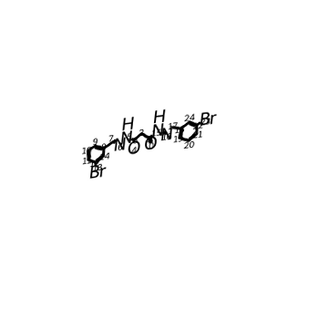 O=C(CC(=O)N/N=C/c1cccc(Br)c1)N/N=C/c1cccc(Br)c1